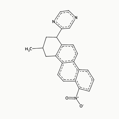 CC1Cc2c(ccc3c2ccc2c([N+](=O)[O-])cccc23)C(c2cnccn2)C1